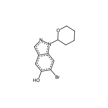 Oc1cc2cnn(C3CCCCO3)c2cc1Br